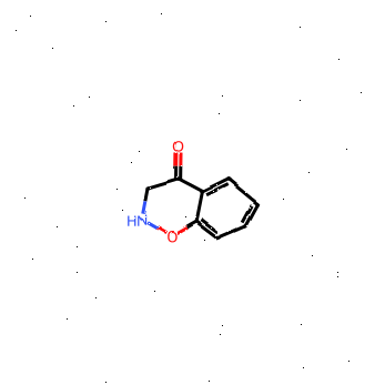 O=C1CNOc2ccccc21